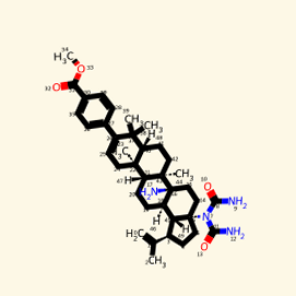 C=C(C)[C@@H]1CC[C@]2(N(C(N)=O)C(N)=O)CC[C@]3(N)[C@H](CC[C@@H]4[C@@]5(C)CC=C(c6ccc(C(=O)OC)cc6)C(C)(C)[C@@H]5CC[C@]43C)[C@@H]12